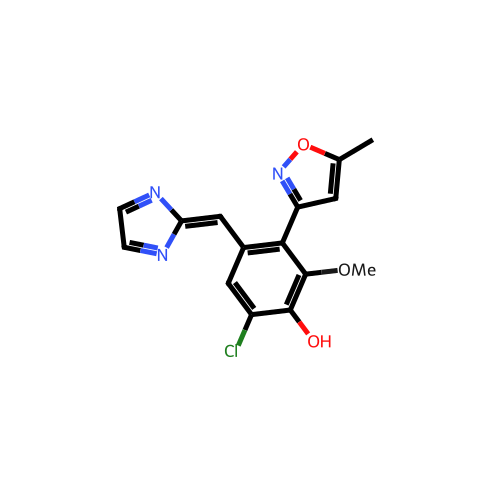 COc1c(O)c(Cl)cc(C=C2N=CC=N2)c1-c1cc(C)on1